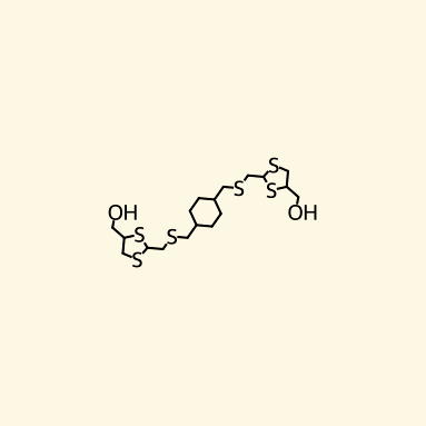 OCC1CSC(CSCC2CCC(CSCC3SCC(CO)S3)CC2)S1